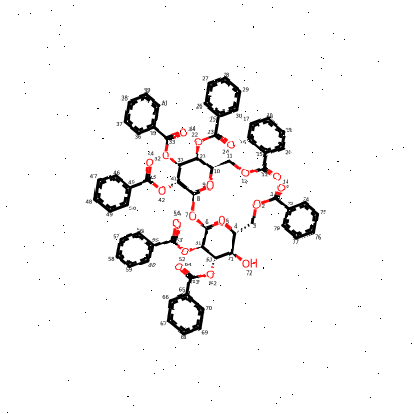 O=C(OC[C@H]1O[C@H](O[C@@H]2O[C@H](COC(=O)c3ccccc3)[C@H](OC(=O)c3ccccc3)[C@H](OC(=O)c3ccccc3)[C@H]2OC(=O)c2ccccc2)[C@H](OC(=O)c2ccccc2)[C@@H](OC(=O)c2ccccc2)[C@@H]1O)c1ccccc1